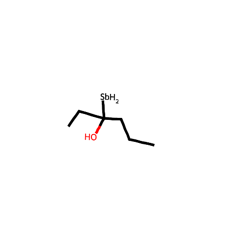 CCC[C](O)([SbH2])CC